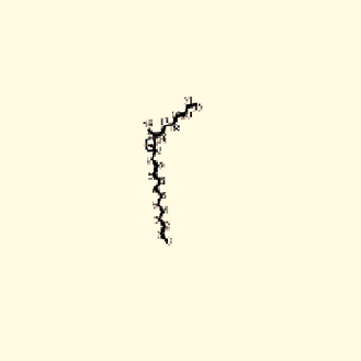 CCCCCCCCCCCCCOC(C)CCCCCCC